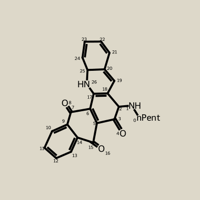 CCCCCNC1C(=O)C2=C(C(=O)c3ccccc3C2=O)C2=C1C=C1C=CC=CC1N2